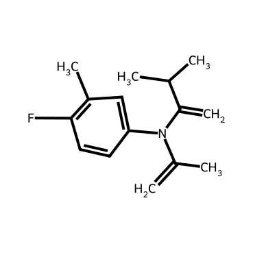 C=C(C)N(C(=C)C(C)C)c1ccc(F)c(C)c1